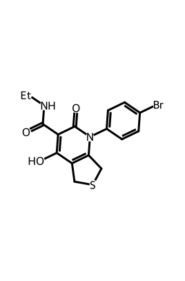 CCNC(=O)c1c(O)c2c(n(-c3ccc(Br)cc3)c1=O)CSC2